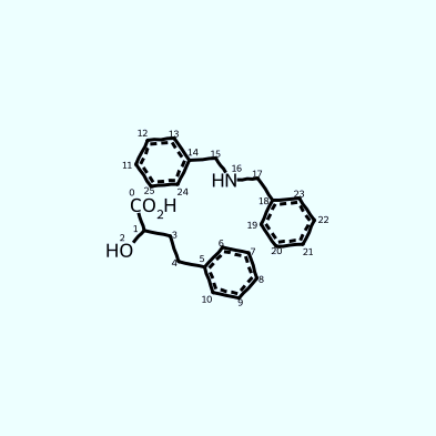 O=C(O)C(O)CCc1ccccc1.c1ccc(CNCc2ccccc2)cc1